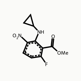 COC(=O)c1c(F)ccc([N+](=O)[O-])c1NC1CC1